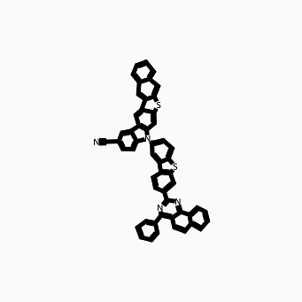 N#Cc1ccc2c(c1)c1cc3c(cc1n2-c1ccc2sc4cc(-c5nc(-c6ccccc6)c6ccc7ccccc7c6n5)ccc4c2c1)sc1cc2ccccc2cc13